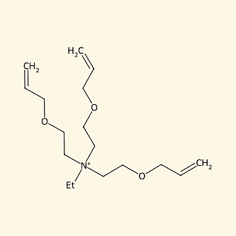 C=CCOCC[N+](CC)(CCOCC=C)CCOCC=C